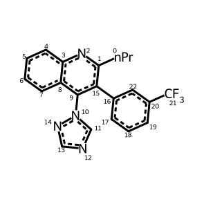 CCCc1nc2ccccc2c(-n2cncn2)c1-c1cccc(C(F)(F)F)c1